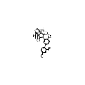 CCc1ccc(-c2ccc(Cl)cc2F)cc1C1C(=O)[C@@H]2[C@@H]3CC[C@@H](C3)[C@@H]2C1=O